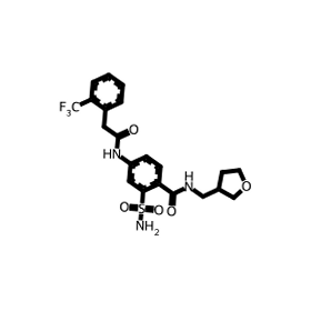 NS(=O)(=O)c1cc(NC(=O)Cc2ccccc2C(F)(F)F)ccc1C(=O)NCC1CCOC1